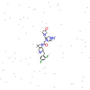 C[C@@H]1CN(CC(=O)N2CC(C)(C)c3cnc(Cc4ccc(F)cc4F)cc32)[C@@H](CN2CCC(=O)C2)CN1